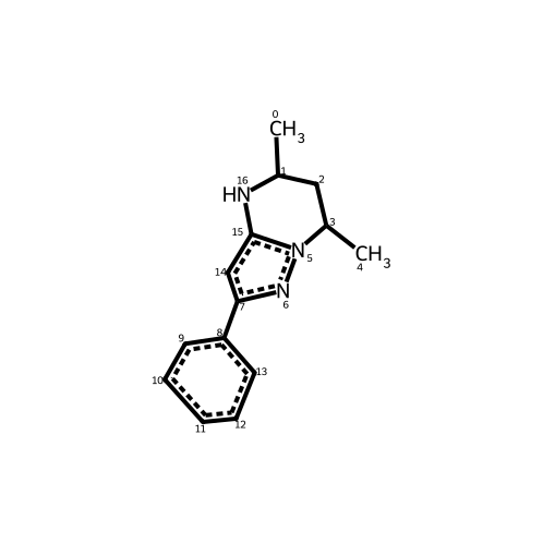 CC1CC(C)n2nc(-c3ccccc3)cc2N1